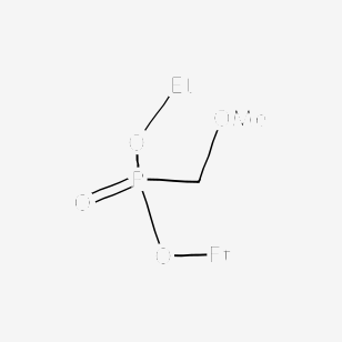 CCOP(=O)(COC)OCC